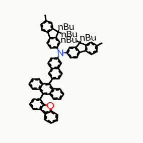 CCCCC1(CCCC)c2cc(C)ccc2-c2ccc(N(c3ccc4c(c3)C(CCCC)(CCCC)c3cc(C)ccc3-4)c3ccc4cc(-c5c6ccccc6c(-c6cccc7c6oc6ccccc67)c6ccccc56)ccc4c3)cc21